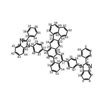 c1ccc(-c2nc3ccccc3n2-c2ccc(-c3cc4c5cc6c(cc5c(-c5ccc(-n7c(-c8ccccc8)nc8ccccc87)cc5)cc4c4ccccc34)-c3cccc4cccc-6c34)cc2)cc1